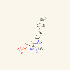 COc1ccc(-c2ccc(NC(=O)[C@@](C)(N)COP(=O)(O)O)cc2)cc1